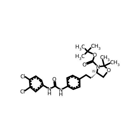 CC(C)(C)OC(=O)N1[C@@H](CCc2ccc(NC(=O)Nc3ccc(Cl)c(Cl)c3)cc2)COC1(C)C